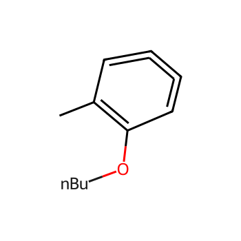 CCCCOC1=C(C)C=C=C=C1